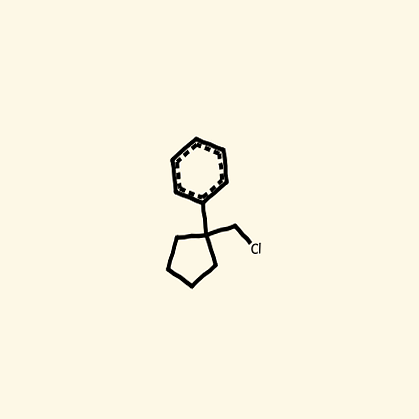 ClCC1(c2ccccc2)CCCC1